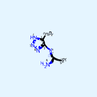 CCCc1[nH]nnc1/N=C(\N)C(C)C